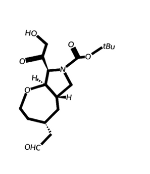 CC(C)(C)OC(=O)N1C[C@@H]2C[C@H](CC=O)CCO[C@H]2[C@H]1C(=O)CO